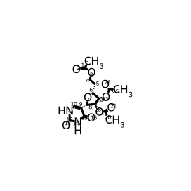 CC(=O)OCC[C@H]1O[C@@H](c2c[nH]c(=O)[nH]c2=O)[C@H](OC(C)=O)[C@@H]1OC(C)=O